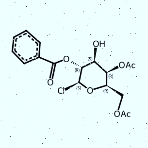 CC(=O)OC[C@H]1O[C@@H](Cl)[C@H](OC(=O)c2ccccc2)[C@@H](O)[C@H]1OC(C)=O